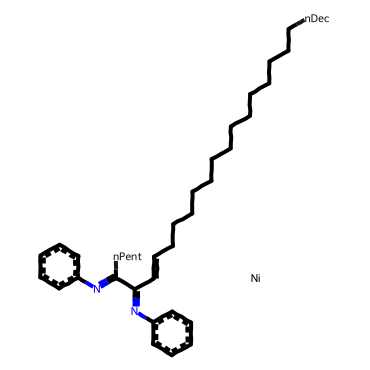 CCCCCCCCCCCCCCCCCCCCCCCC/C=C/C(=N\c1ccccc1)C(/CCCCC)=N/c1ccccc1.[Ni]